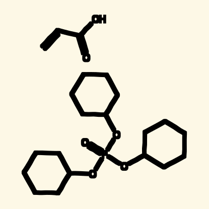 C=CC(=O)O.O=P(OC1CCCCC1)(OC1CCCCC1)OC1CCCCC1